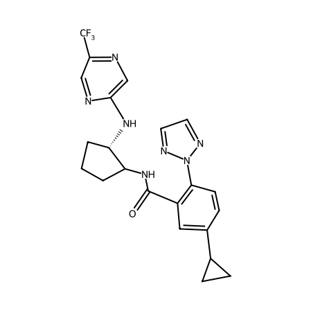 O=C(NC1CCC[C@@H]1Nc1cnc(C(F)(F)F)cn1)c1cc(C2CC2)ccc1-n1nccn1